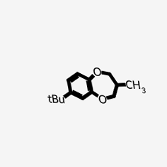 CC1COc2ccc(C(C)(C)C)cc2OC1